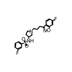 O=S(=O)(NC1CCN(CCCc2noc3cc(F)ccc23)C1)c1cccc(F)c1